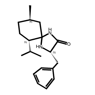 CC(C)[C@@H]1CC[C@@H](C)CC12NC(=O)[C@H](Cc1ccccc1)N2